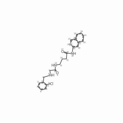 O=C(CNCc1ccccc1Cl)NCCCC(=O)Nc1cc2ccccc2cn1